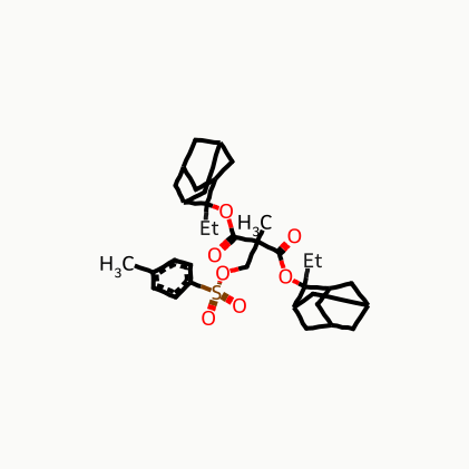 CCC1(OC(=O)C(C)(COS(=O)(=O)c2ccc(C)cc2)C(=O)OC2(CC)C3CC4CC(C3)CC2C4)C2CC3CC(C2)CC1C3